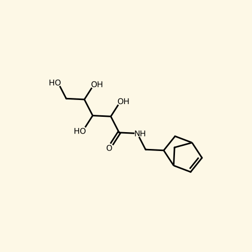 O=C(NCC1CC2C=CC1C2)C(O)C(O)C(O)CO